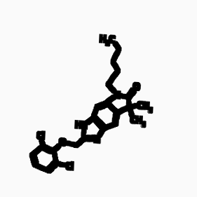 CCCCCN1C(=O)C(C)(C)c2cc3nc(COc4c(Cl)cccc4Cl)[nH]c3cc21